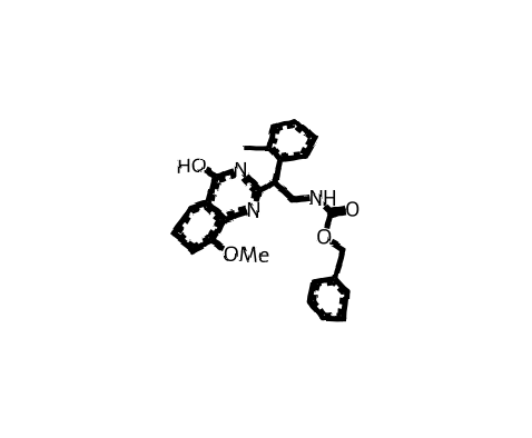 COc1cccc2c(O)nc(C(CNC(=O)OCc3ccccc3)c3ccccc3C)nc12